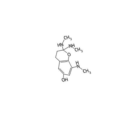 CNc1cc(O)cc2c1OC(NC)(NC)CC2